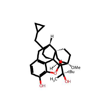 CO[C@@]12CC[C@@]3(C[C@@H]1[C@](C)(O)C(C)(C)C)[C@H]1Cc4ccc(O)c5c4[C@@]3(CCC1CC1CC1)[C@H]2O5